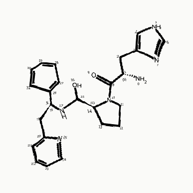 N[C@@H](Cc1c[nH]cn1)C(=O)N1CCC[C@H]1C(O)N[C@@H](Cc1ccccn1)c1ccccc1